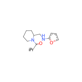 CC(C)C(=O)N1CCCCC1CNc1ccco1